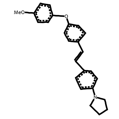 COc1ccc(Oc2ccc(C=Cc3ccc(N4CCCC4)cc3)cc2)cc1